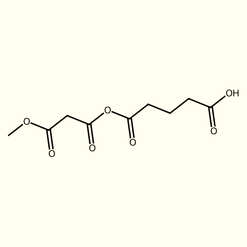 COC(=O)CC(=O)OC(=O)CCCC(=O)O